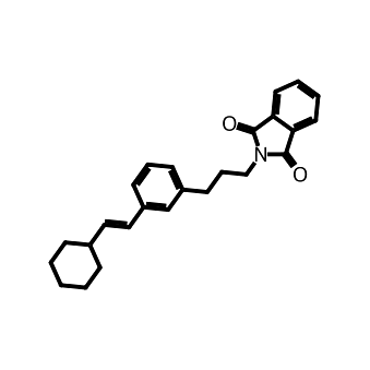 O=C1c2ccccc2C(=O)N1CCCc1cccc(C=CC2CCCCC2)c1